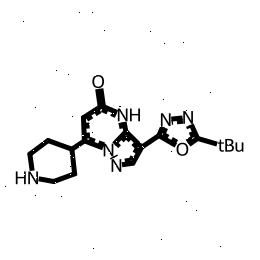 CC(C)(C)c1nnc(-c2cnn3c(C4CCNCC4)cc(=O)[nH]c23)o1